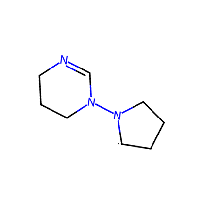 [CH]1CCCN1N1C=NCCC1